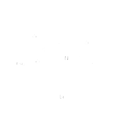 CC(C)(C)OC(=O)Cn1cc(Br)c2ccccc2c1=O